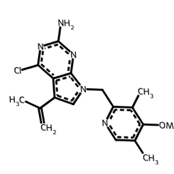 C=C(C)c1cn(Cc2ncc(C)c(OC)c2C)c2nc(N)nc(Cl)c12